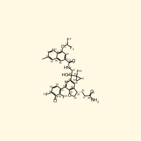 Cc1cnc2c(OC(F)F)cc(C(=O)NCC(O)(c3cc4c(c(-c5ccc(F)c(Cl)c5F)n3)OC[C@H]4CCC(N)=O)C3(F)CC3)cc2c1